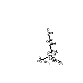 CC(O)CN(O)CC(O)C(NC(=O)C(N)CCCN(O)C(=O)NCCCN(O)C=O)C(=O)N(O)CCCC(N)C(=O)O